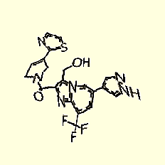 O=C(c1nc2c(C(F)(F)F)cc(-c3cn[nH]c3)cn2c1CO)N1CC=C(c2nccs2)C1